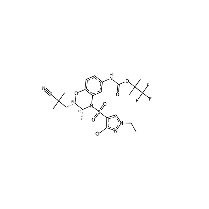 CCn1cc(S(=O)(=O)N2c3cc(NC(=O)OC(C)(C)C(F)(F)F)ccc3O[C@@H](CC(C)(C)C#N)[C@H]2C)c(Cl)n1